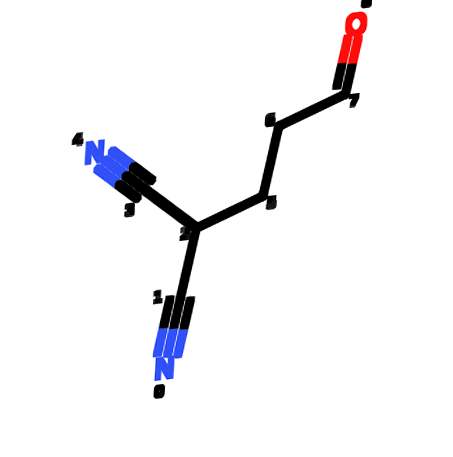 N#CC(C#N)CCC=O